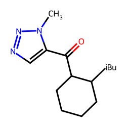 CCC(C)C1CCCCC1C(=O)c1cnnn1C